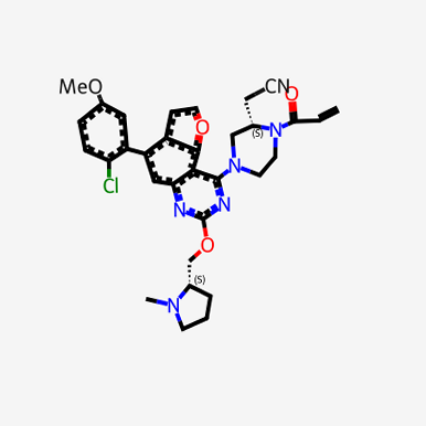 C=CC(=O)N1CCN(c2nc(OC[C@@H]3CCCN3C)nc3cc(-c4cc(OC)ccc4Cl)c4ccoc4c23)C[C@@H]1CC#N